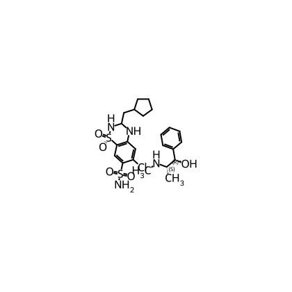 CN[C@@H](C)[C@H](O)c1ccccc1.NS(=O)(=O)c1cc2c(cc1Cl)NC(CC1CCCC1)NS2(=O)=O